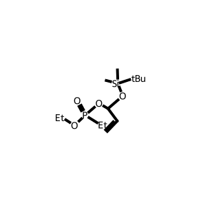 C=CC(O[Si](C)(C)C(C)(C)C)OP(=O)(CC)OCC